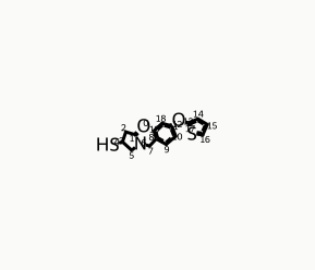 O=C1CC(S)CN1Cc1ccc(Oc2cccs2)cc1